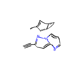 C#Cc1cc2ncccn2n1.Cc1cc2cc-2c1